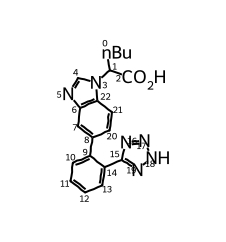 CCCCC(C(=O)O)n1cnc2cc(-c3ccccc3-c3nn[nH]n3)ccc21